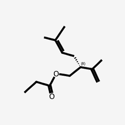 C=C(C)[C@@H](CC=C(C)C)COC(=O)CC